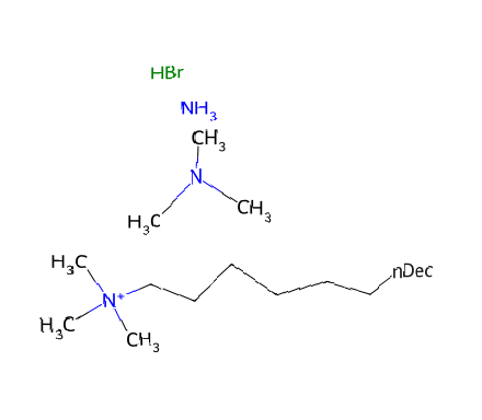 Br.CCCCCCCCCCCCCCCC[N+](C)(C)C.CN(C)C.N